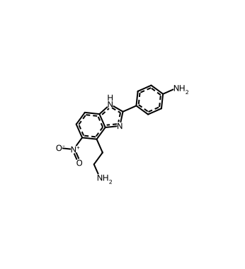 NCCc1c([N+](=O)[O-])ccc2[nH]c(-c3ccc(N)cc3)nc12